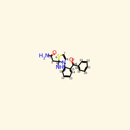 NC(=O)CC1(N)SC=CN1c1ccccc1C(=O)c1ccccc1